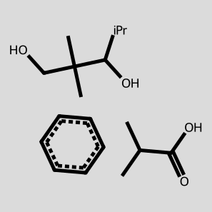 CC(C)C(=O)O.CC(C)C(O)C(C)(C)CO.c1ccccc1